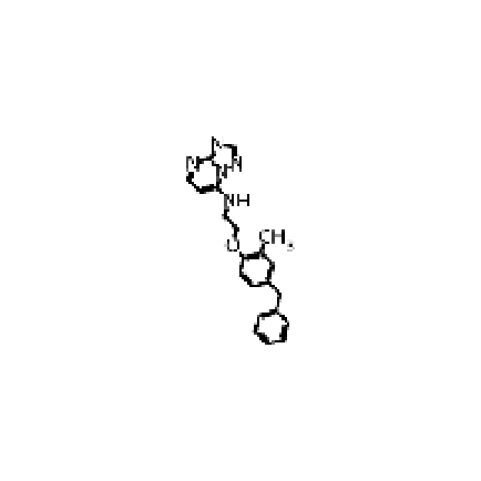 Cc1cc(Cc2ccccc2)ccc1OCCNc1ccnc2ncnn12